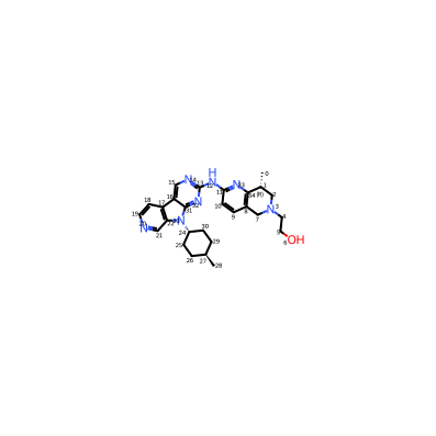 C[C@@H]1CN(CCO)Cc2ccc(Nc3ncc4c5ccncc5n([C@H]5CC[C@H](C)CC5)c4n3)nc21